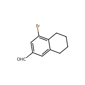 O=Cc1cc(Br)c2c(c1)CCCC2